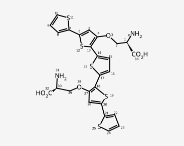 N[C@H](COc1cc(-c2cccs2)sc1-c1ccc(-c2sc(-c3cccs3)cc2OC[C@H](N)C(=O)O)s1)C(=O)O